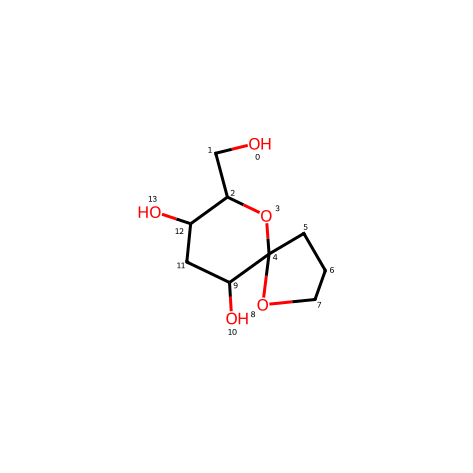 OCC1OC2(CCCO2)C(O)CC1O